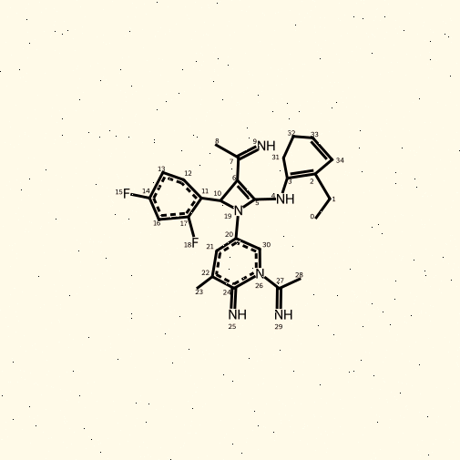 CCC1=C(NC2=C(C(C)=N)C(c3ccc(F)cc3F)N2c2cc(C)c(=N)n(C(C)=N)c2)CCC=C1